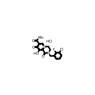 CC(C)(C)C(=O)c1cn2c(c(O)c1=O)C(=O)N(Cc1cccc(Cl)c1F)CC2.Cl